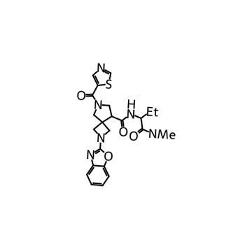 CCC(NC(=O)C1CN(C(=O)c2cncs2)CC12CN(c1nc3ccccc3o1)C2)C(=O)NC